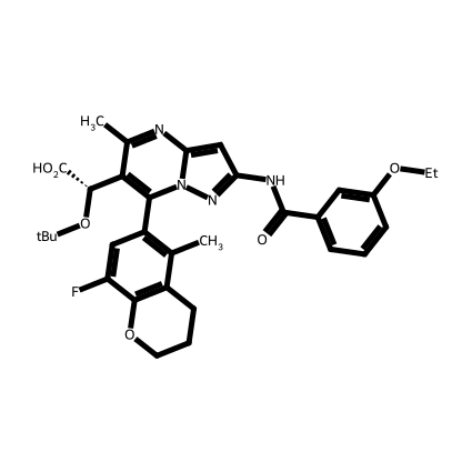 CCOc1cccc(C(=O)Nc2cc3nc(C)c([C@H](OC(C)(C)C)C(=O)O)c(-c4cc(F)c5c(c4C)CCCO5)n3n2)c1